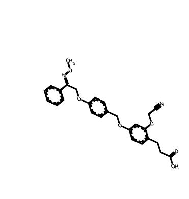 CO/N=C(\COc1ccc(COc2ccc(CCC(=O)O)c(OCC#N)c2)cc1)c1ccccc1